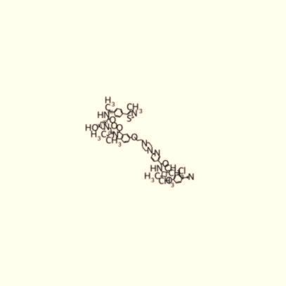 Cc1ncsc1-c1ccc([C@H](C)NC(=O)[C@@H]2C[C@@H](O)CN2C(=O)[C@H](C(C)C)N2Cc3ccc(OCCN4CCN(c5ccc(C(=O)NC6C(C)(C)C(Oc7ccc(C#N)c(Cl)c7)C6(C)C)cn5)CC4)cc3C2=O)cc1